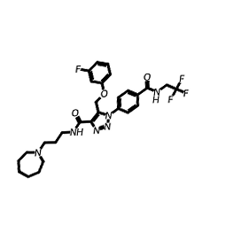 O=C(NCC(F)(F)F)c1ccc(-n2nnc(C(=O)NCCCN3CCCCCC3)c2COc2cccc(F)c2)cc1